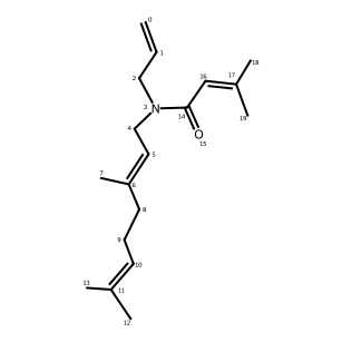 C=CCN(C/C=C(\C)CCC=C(C)C)C(=O)C=C(C)C